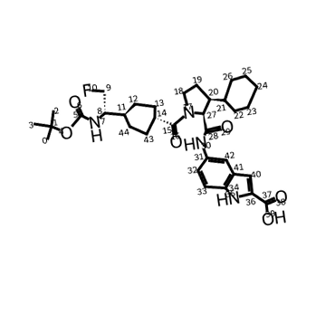 CC(C)(C)OC(=O)N[C@H](CF)[C@H]1CC[C@H](C(=O)N2CC[C@@H](C3CCCCC3)[C@H]2C(=O)Nc2ccc3[nH]c(C(=O)O)cc3c2)CC1